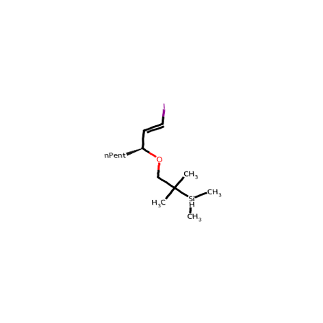 CCCCC[C@@H](/C=C/I)OCC(C)(C)[SiH](C)C